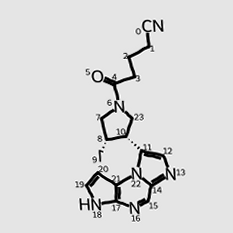 N#CCCCC(=O)N1C[C@@H](I)[C@@H](c2cnc3cnc4[nH]ccc4n23)C1